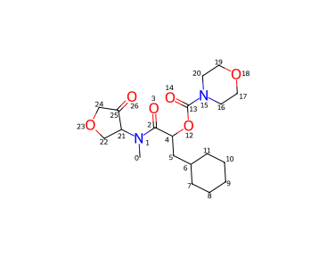 CN(C(=O)C(CC1CCCCC1)OC(=O)N1CCOCC1)C1COCC1=O